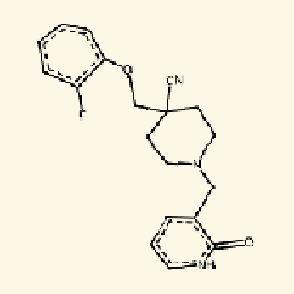 N#CC1(COc2ccccc2F)CCN(Cc2ccc[nH]c2=O)CC1